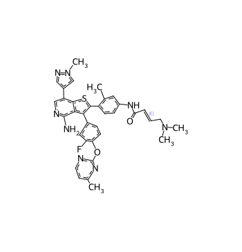 Cc1ccnc(Oc2ccc(-c3c(-c4ccc(NC(=O)/C=C/CN(C)C)cc4C)sc4c(-c5cnn(C)c5)cnc(N)c34)cc2F)n1